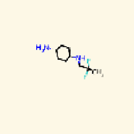 CC(F)(F)CN[C@H]1CC[C@H](N)CC1